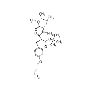 C=CCCOc1ccc(C[C@H](C(=O)OC(C)(C)C)C(=O)N(N)[C@@H](CC(C)CC)C(=O)OC)cc1